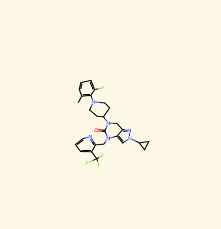 Cc1cccc(F)c1N1CCC(N2Cc3nn(C4CC4)cc3N(Cc3ncccc3C(F)(F)F)C2=O)CC1